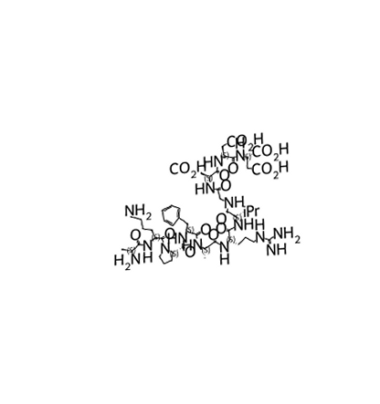 CC(C)[C@H](NC(=O)[C@H](CCCNC(=N)N)NC(=O)[C@H](C)NC(=O)[C@H](Cc1ccccc1)NC(=O)[C@@H]1CCCN1C(=O)[C@H](CCCCN)NC(=O)[C@H](C)N)C(=O)NCC(=O)N[C@@H](CC(=O)O)C(=O)N[C@@H](CC(=O)O)C(=O)N[C@@H](CC(=O)O)C(=O)O